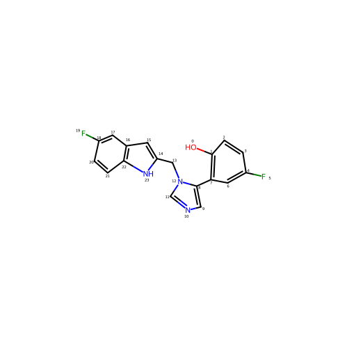 Oc1ccc(F)cc1-c1cncn1Cc1cc2cc(F)ccc2[nH]1